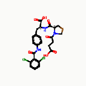 O=C(O)CCC(=O)N1CSC[C@@H]1C(=O)N[C@@H](Cc1ccc(NC(=O)c2c(Cl)cccc2Cl)cc1)C(=O)O